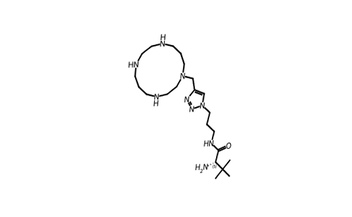 CC(C)(C)[C@H](N)C(=O)NCCCn1cc(CN2CCCNCCNCCCNCC2)nn1